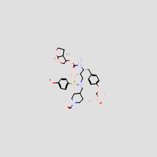 COc1ccc(S(=O)(=O)N(CC2CCN(C=O)CC2)C[C@@H](O)[C@H](Cc2ccc(OCP(=O)(O)O)cc2)NC(=O)OC2CO[C@H]3OCC[C@@H]23)cc1